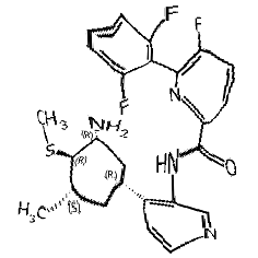 CS[C@H]1[C@H](N)C[C@H](c2ccncc2NC(=O)c2ccc(F)c(-c3c(F)cccc3F)n2)C[C@@H]1C